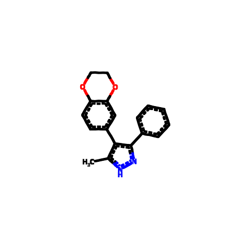 Cc1[nH]nc(-c2ccccc2)c1-c1ccc2c(c1)OCCO2